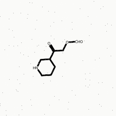 O=COCC(=O)C1CCCNC1